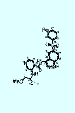 COCC(C)Nc1cnccc1C(=O)Nc1n[nH]c2ccc(S(=O)(=O)c3cccc(F)c3)cc12